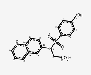 CC(C)(C)c1ccc(S(=O)(=O)N(CC(=O)O)c2ccc3ncccc3c2)cc1